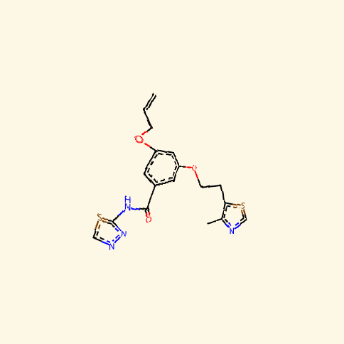 C=CCOc1cc(OCCc2scnc2C)cc(C(=O)Nc2nncs2)c1